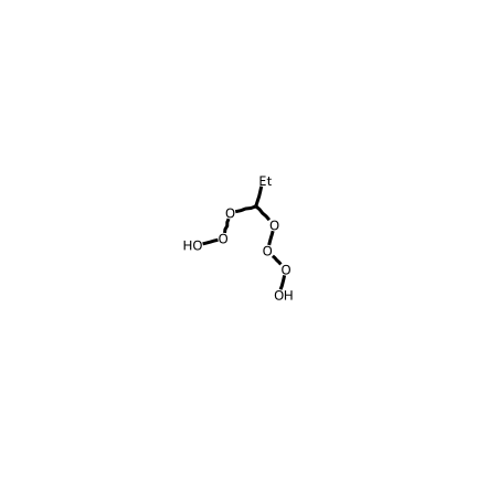 CCC(OOO)OOOO